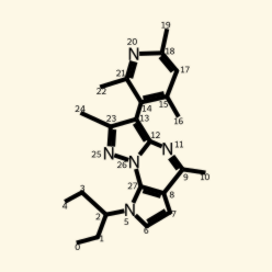 CCC(CC)n1ccc2c(C)nc3c(-c4c(C)cc(C)nc4C)c(C)nn3c21